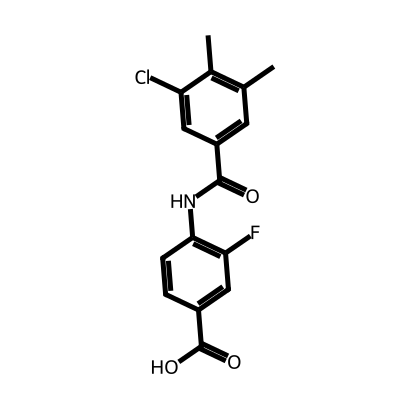 Cc1cc(C(=O)Nc2ccc(C(=O)O)cc2F)cc(Cl)c1C